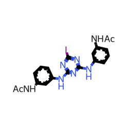 CC(=O)Nc1cccc(Nc2nc(I)nc(Nc3cccc(NC(C)=O)c3)n2)c1